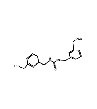 COCc1cccc(CNC(=O)NCC2CC=CC(CO)=N2)c1